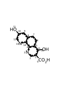 O=C(O)c1cnc2c(ccc3cc(O)cnc32)c1O